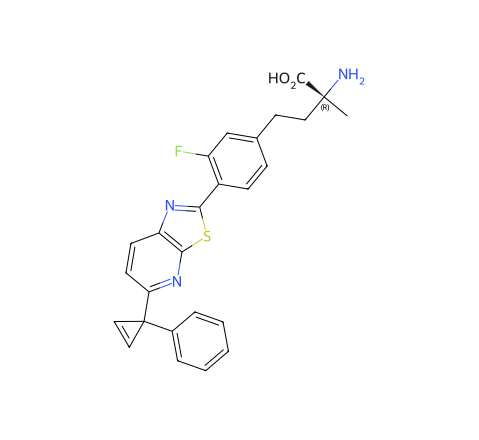 C[C@@](N)(CCc1ccc(-c2nc3ccc(C4(c5ccccc5)C=C4)nc3s2)c(F)c1)C(=O)O